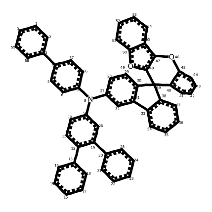 c1ccc(-c2ccc(N(c3ccc(-c4ccccc4)c(-c4ccccc4)c3)c3ccc4c(c3)-c3ccccc3C43c4ccccc4Oc4c3oc3ccccc43)cc2)cc1